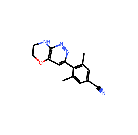 Cc1cc(C#N)cc(C)c1-c1cc2c(nn1)NCCO2